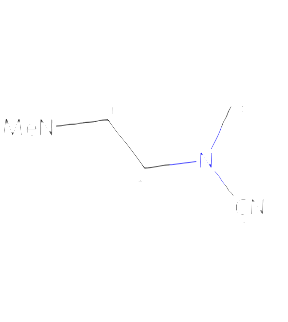 CNCCN(C)C#N